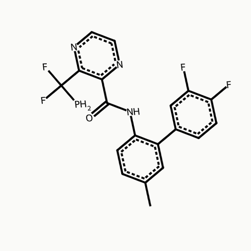 Cc1ccc(NC(=O)c2nccnc2C(F)(F)P)c(-c2ccc(F)c(F)c2)c1